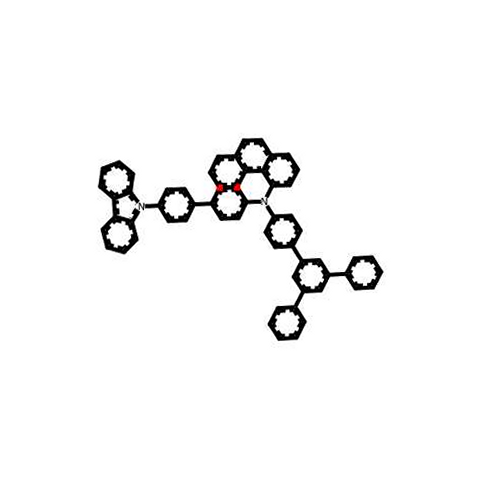 c1ccc(-c2cc(-c3ccccc3)cc(-c3ccc(N(c4ccc(-c5ccc(-n6c7ccccc7c7ccccc76)cc5)cc4)c4cccc5ccc6ccccc6c45)cc3)c2)cc1